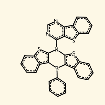 c1ccc(B2c3c(sc4ccccc34)N(c3ncnc4c3sc3ccccc34)c3sc4ccccc4c32)cc1